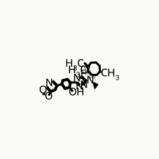 CC[C@]1(C)CCCC(C)C[C@H](N(c2cnc(-c3ccc(-c4cnc5c(c4)OCO5)cc3O)nn2)C2CC2)[C@@H]1F